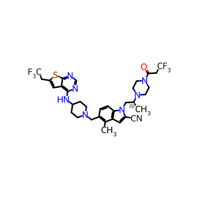 Cc1c(CN2CCC(Nc3ncnc4sc(CC(F)(F)F)cc34)CC2)ccc2c1cc(C#N)n2C[C@H](C)N1CCN(C(=O)CC(F)(F)F)CC1